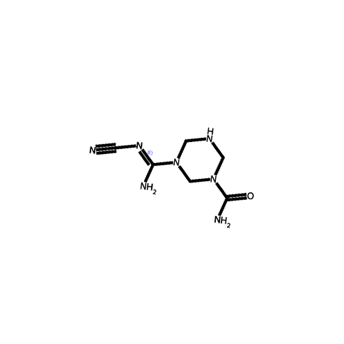 N#C/N=C(\N)N1CNCN(C(N)=O)C1